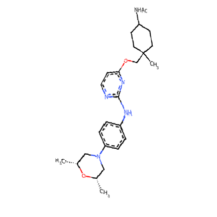 CC(=O)NC1CCC(C)(COc2ccnc(Nc3ccc(N4C[C@@H](C)O[C@@H](C)C4)cc3)n2)CC1